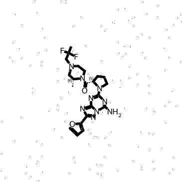 C[C@@H]1CN(CC(C)(F)F)CCN1C(=O)[C@@H]1CCCN1c1nc(N)n2nc(-c3ccco3)nc2n1